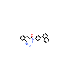 NCc1ccccc1CCC(=O)Nc1ccc(-c2cccc3c2C=CCC3)cc1